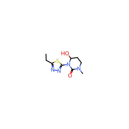 CCc1nnc(N2C(=O)N(C)CCC2O)s1